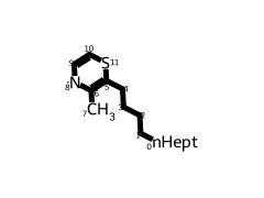 CCCCCCCCCCCC1=C(C)[N]C=CS1